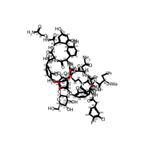 CN[C@H](CC(C)C)C(=O)N[C@H]1C(=O)N[C@@H](CC(N)=O)C(=O)N[C@H]2C(=O)N[C@H]3C(=O)N[C@H](C(=O)N[C@@H](C(=O)NOCC(N)=O)c4cc(O)cc(O)c4-c4cc3ccc4O)[C@H](O)c3ccc(c(Cl)c3)Oc3cc2cc(c3O[C@@H]2O[C@H](CO)[C@@H](O)[C@H](O)[C@H]2O[C@H]2C[C@](C)(NCCn3ccc(NC(=O)Cc4ccc(F)c(Cl)c4)nc3=O)[C@H](O)[C@H](C)O2)Oc2ccc(cc2Cl)[C@H]1O